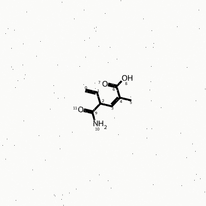 C=CC(C=C(C)C(=O)O)C(N)=O